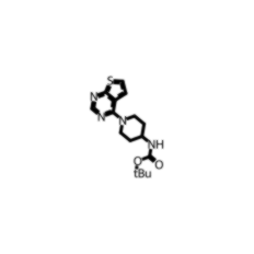 CC(C)(C)OC(=O)NC1CCN(c2ncnc3sccc23)CC1